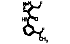 CC(F)c1cccc(NC(=O)c2snnc2CF)c1